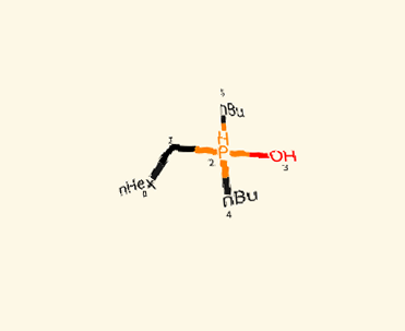 CCCCCCC[PH](O)(CCCC)CCCC